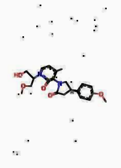 COCC(CO)n1ccc(C)c(N2C[C@@H](c3ccc(OC)cc3)CC2=O)c1=O